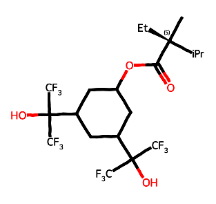 CC[C@](C)(C(=O)OC1CC(C(O)(C(F)(F)F)C(F)(F)F)CC(C(O)(C(F)(F)F)C(F)(F)F)C1)C(C)C